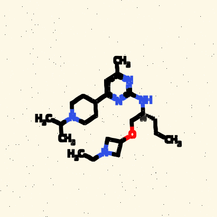 CCC[C@H](COC1CN(CC)C1)Nc1nc(C)cc(C2CCN(C(C)C)CC2)n1